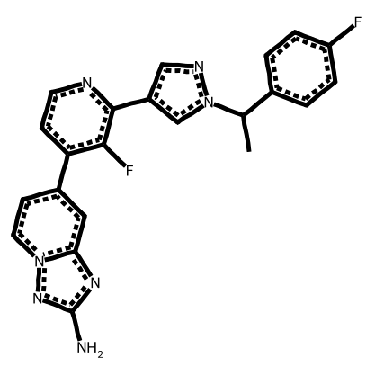 CC(c1ccc(F)cc1)n1cc(-c2nccc(-c3ccn4nc(N)nc4c3)c2F)cn1